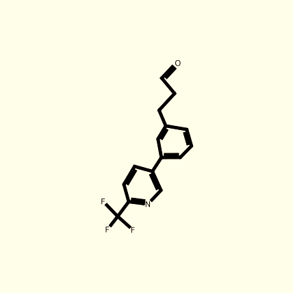 O=CCCc1cccc(-c2ccc(C(F)(F)F)nc2)c1